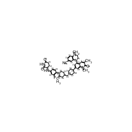 Cc1cc2c(N3CCN(C)c4ccc(C#N)cc43)cc(C3CCN(CC4CCN(c5ccc(NC6CCC(=O)NC6=O)cc5F)[C@@H](C)C4)CC3)cc2n(C)c1=O